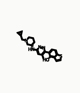 Cc1cc(N[C@H]2CCCN(CC3CC3)C2)nnc1-c1ccc2sccc2c1O